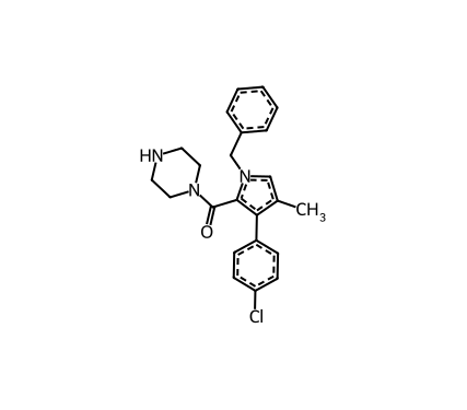 Cc1cn(Cc2ccccc2)c(C(=O)N2CCNCC2)c1-c1ccc(Cl)cc1